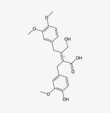 COc1cc(C/C(C(=O)O)=C(/CO)Cc2ccc(OC)c(OC)c2)ccc1O